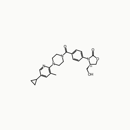 Cc1cc(C2CC2)cnc1N1CCN(C(=O)c2ccc(N3C(=O)OC[C@H]3CO)cc2)CC1